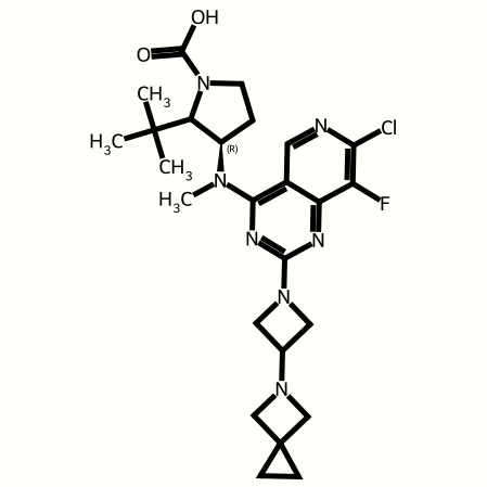 CN(c1nc(N2CC(N3CC4(CC4)C3)C2)nc2c(F)c(Cl)ncc12)[C@@H]1CCN(C(=O)O)C1C(C)(C)C